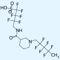 CC(F)(F)C(F)(F)C(F)(F)CN1CCCC(C(=O)NCC(F)(F)C(F)(F)C(F)(F)S(=O)(=O)O)C1